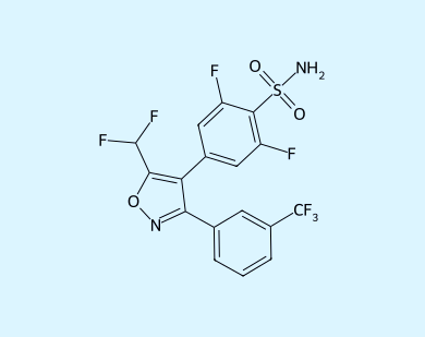 NS(=O)(=O)c1c(F)cc(-c2c(-c3cccc(C(F)(F)F)c3)noc2C(F)F)cc1F